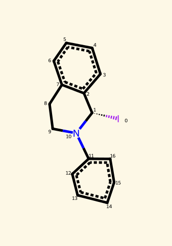 I[C@H]1c2ccccc2CCN1c1ccccc1